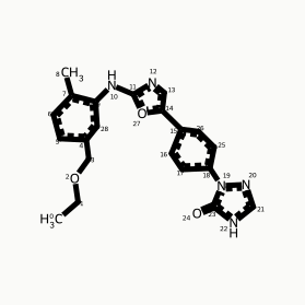 CCOCc1ccc(C)c(Nc2ncc(-c3ccc(-n4nc[nH]c4=O)cc3)o2)c1